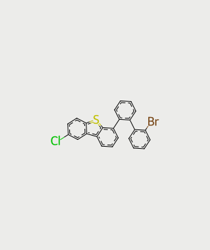 Clc1ccc2sc3c(-c4ccccc4-c4ccccc4Br)cccc3c2c1